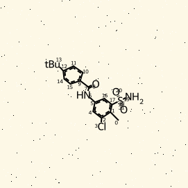 Cc1c(Cl)cc(NC(=O)c2ccc(C(C)(C)C)cc2)cc1S(N)(=O)=O